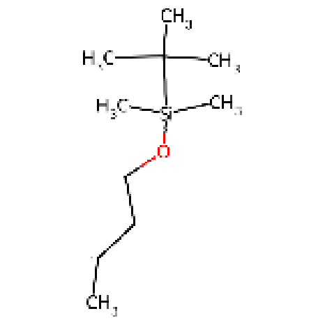 C[CH]CCO[Si](C)(C)C(C)(C)C